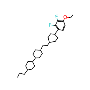 CCCC1CCC(C2CCC(CCC3CCC(c4ccc(OCC)c(F)c4F)CC3)CC2)CC1